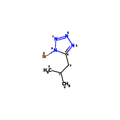 CC(C)Cc1nnnn1Br